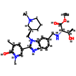 CC(=O)N1CCC[C@@H](Cn2c(-c3cc(C)c(=O)n(C)c3)nc3ccc(CN[C@H](C(=O)OC(C)(C)C)[C@@H](C)O)cc32)C1